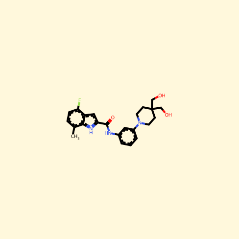 Cc1ccc(F)c2cc(C(=O)Nc3cccc(N4CCC(CO)(CO)CC4)c3)[nH]c12